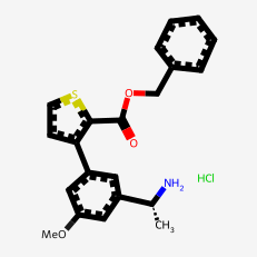 COc1cc(-c2ccsc2C(=O)OCc2ccccc2)cc([C@@H](C)N)c1.Cl